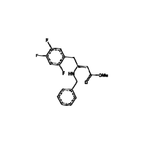 COC(=O)/C=C(/Cc1cc(F)c(F)cc1F)NCc1ccccc1